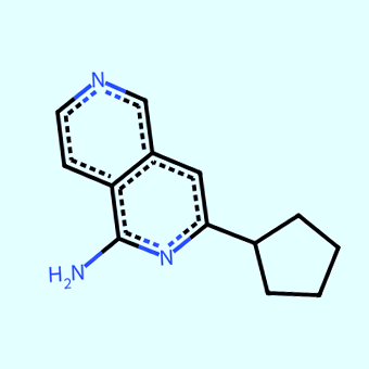 Nc1nc(C2CCCC2)cc2cnccc12